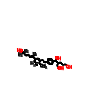 C=C\C(=C/C(=C\C)C(=C/C=C/C(O)(CC)CC)/CC)CCc1ccc(C(O)C(CO)CCCO)cc1